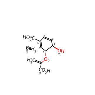 C=C(O[C@@H]1C=C(C(=O)O)C=C[C@H]1O)C(=O)O.[BaH2]